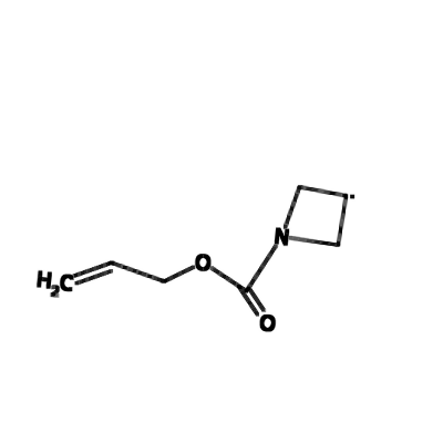 C=CCOC(=O)N1C[CH]C1